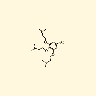 CC(=O)c1cc(OCCN(C)C)c(OCCN(C)C)c(OCCN(C)C)c1